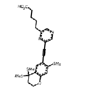 CSc1cc2c(cc1C#Cc1cncc(CCCCC(=O)O)n1)C(SC)(SC)CCO2